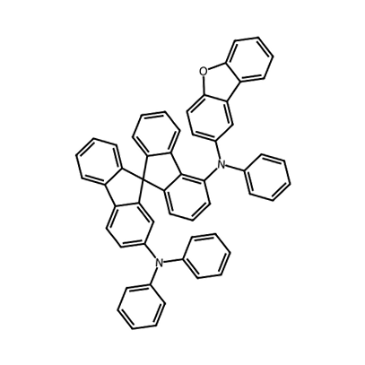 c1ccc(N(c2ccccc2)c2ccc3c(c2)C2(c4ccccc4-3)c3ccccc3-c3c(N(c4ccccc4)c4ccc5oc6ccccc6c5c4)cccc32)cc1